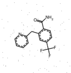 NC(=O)c1ccc(C(F)(F)F)cc1Cc1ccccn1